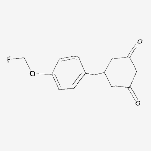 O=C1CC(=O)CC(c2ccc(OCF)cc2)C1